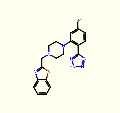 CC(C)c1ccc(-c2nn[nH]n2)c(N2CCN(Cc3nc4ccccc4s3)CC2)c1